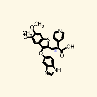 COc1cc2sc(/C=C(/C(=O)O)c3ccncc3)c(Oc3ccc4[nH]cnc4c3)c2cc1OC